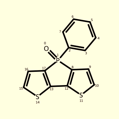 O=P1(c2ccccc2)c2ccsc2-c2sccc21